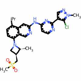 CC(C)c1ccc(N2C[C@H](CS(C)(=O)=O)[C@H]2C)c2cnc(Nc3ccnc(-c4cnn(C)c4Cl)n3)cc12